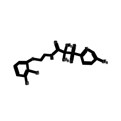 CC(C)(C(=O)NCCSc1cccc(Cl)c1Cl)S(=O)(=O)c1ccc(C(F)(F)F)cn1